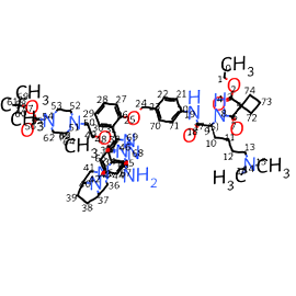 CCOC(=O)C1(C(=O)N[C@@H](CCCCN(C)C)C(=O)Nc2ccc(COc3ccccc3-c3cc(N4CC5CCC(C4)N5c4ccnc(OCCN5CCN(C(=O)OC(C)(C)C)C[C@H]5C)c4)c(N)nn3)cc2)CCC1